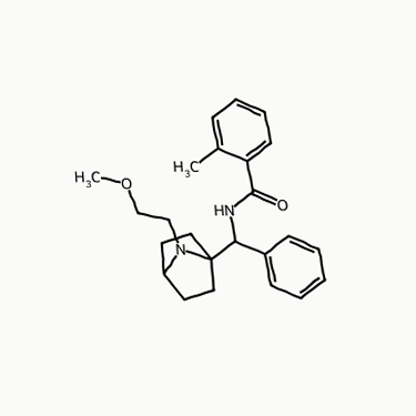 COCCN1C2CCC1(C(NC(=O)c1ccccc1C)c1ccccc1)CC2